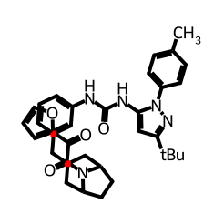 Cc1ccc(-n2nc(C(C)(C)C)cc2NC(=O)Nc2cccc(CC3CC4CCC(C3)N4C(=O)C(=O)c3ccco3)c2)cc1